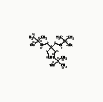 CC(C)(C)[Si](C)(C)OCC(CC#N)(CO[Si](C)(C)C(C)(C)C)CO[Si](C)(C)C(C)(C)C